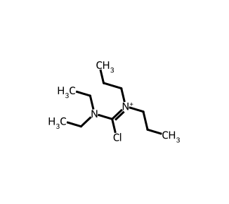 CCC[N+](CCC)=C(Cl)N(CC)CC